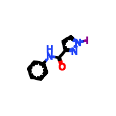 O=C(Nc1ccccc1)c1ccn(I)n1